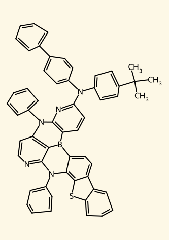 CC(C)(C)c1ccc(N(c2ccc(-c3ccccc3)cc2)c2ccc3c(n2)N(c2ccccc2)c2ccnc4c2B3c2ccc3c(sc5ccccc53)c2N4c2ccccc2)cc1